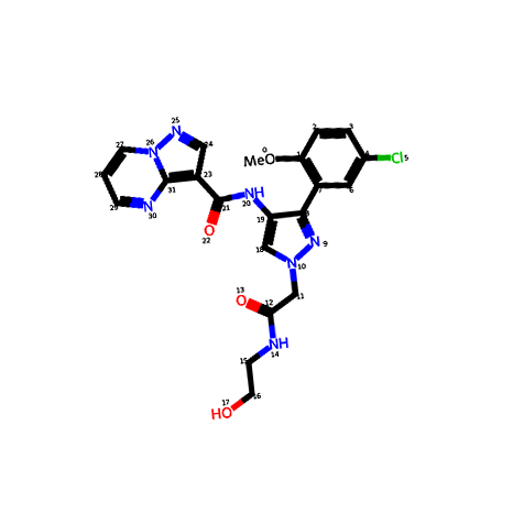 COc1ccc(Cl)cc1-c1nn(CC(=O)NCCO)cc1NC(=O)c1cnn2cccnc12